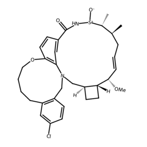 CO[C@H]1/C=C/C[C@H](C)[C@@H](C)[S+]([O-])NC(=O)c2ccc3c(c2)N(Cc2ccc(Cl)cc2CCCCO3)C[C@@H]2CC[C@H]21